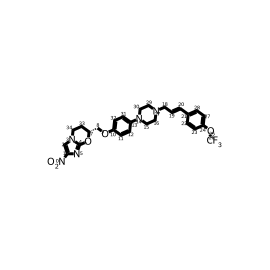 O=[N+]([O-])c1cn2c(n1)O[C@@H](COc1ccc(N3CCN(C/C=C/c4ccc(OC(F)(F)F)cc4)CC3)cc1)CC2